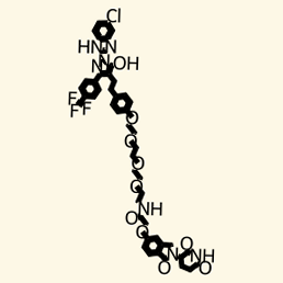 O=C(COc1ccc2c(c1)CN(C1CCC(=O)NC1=O)C2=O)NCCOCCOCCOCCOc1ccc(CCc2c(-c3ccc(C(F)(F)F)cc3)nn(-c3nc4cc(Cl)ccc4[nH]3)c2O)cc1